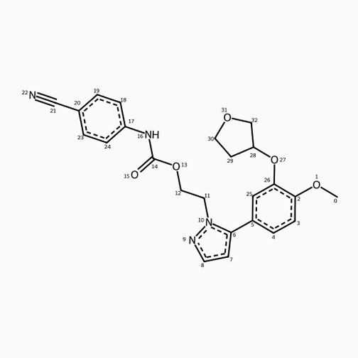 COc1ccc(-c2ccnn2CCOC(=O)Nc2ccc(C#N)cc2)cc1OC1CCOC1